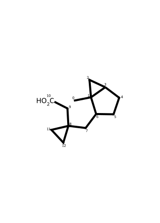 CC12CC1CCC2CC1(CC(=O)O)CC1